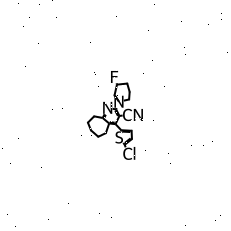 N#Cc1c(N2CCCC(F)C2)nc2c(c1-c1ccc(Cl)s1)CCCCC2